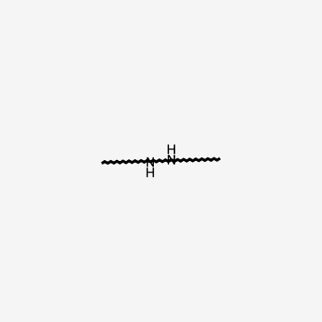 CCCCCCCCCCCCCCCCNCCCCCCNCCCCCCCCCCCCCCCC